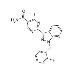 Cc1nc(-c2nn(Cc3ccccc3F)c3ncccc23)ncc1C(N)=O